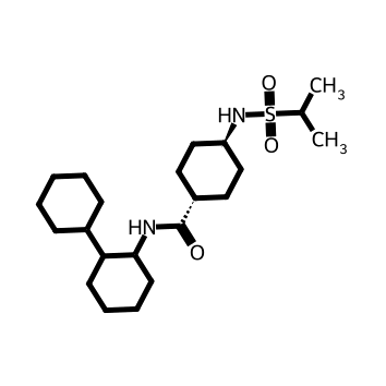 CC(C)S(=O)(=O)N[C@H]1CC[C@H](C(=O)NC2CCCCC2C2CCCCC2)CC1